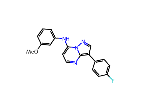 COc1cccc(Nc2ccnc3c(-c4ccc(F)cc4)cnn23)c1